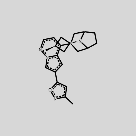 Cc1cc(-c2cc3c(N4CC5CCC(C4)N5[C@H]4C[C@H](C)C4)ccnn3c2)on1